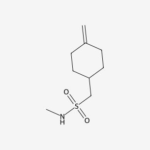 C=C1CCC(CS(=O)(=O)NC)CC1